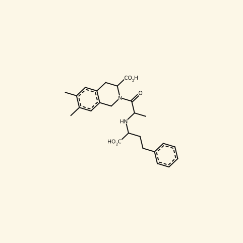 Cc1cc2c(cc1C)CN(C(=O)C(C)NC(CCc1ccccc1)C(=O)O)C(C(=O)O)C2